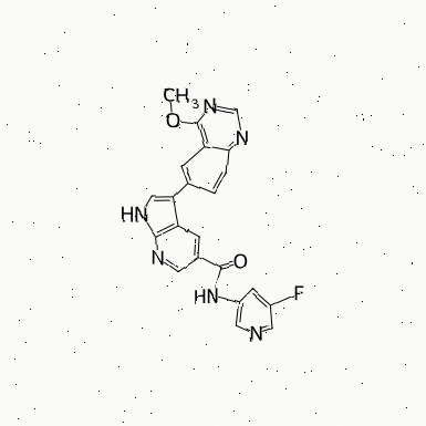 COc1ncnc2ccc(-c3c[nH]c4ncc(C(=O)Nc5cncc(F)c5)cc34)cc12